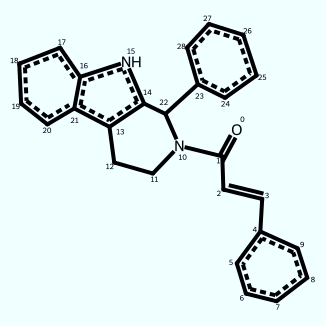 O=C(C=Cc1ccccc1)N1CCc2c([nH]c3ccccc23)C1c1ccccc1